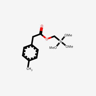 CO[Si](COC(=O)Cc1ccc(C)cc1)(OC)OC